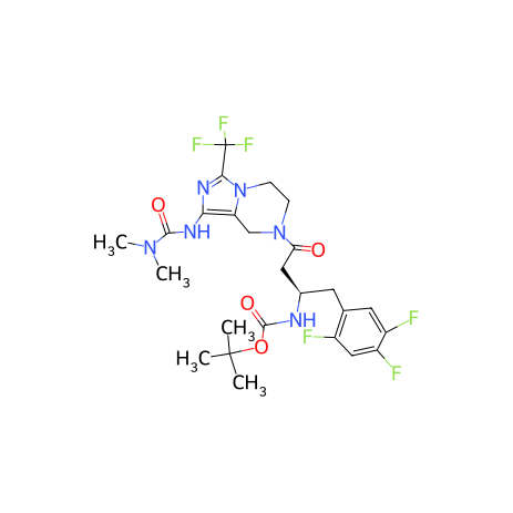 CN(C)C(=O)Nc1nc(C(F)(F)F)n2c1CN(C(=O)C[C@@H](Cc1cc(F)c(F)cc1F)NC(=O)OC(C)(C)C)CC2